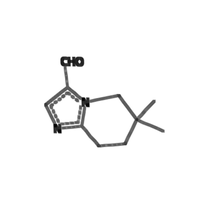 CC1(C)CCc2ncc(C=O)n2C1